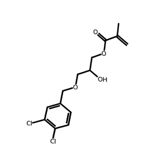 C=C(C)C(=O)OCC(O)COCc1ccc(Cl)c(Cl)c1